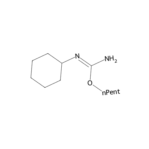 CCCCCOC(N)=NC1CCCCC1